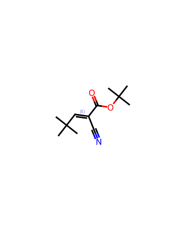 CC(C)(C)/C=C(\C#N)C(=O)OC(C)(C)C